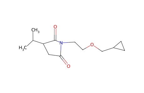 CC(C)C1CC(=O)N(CCOCC2CC2)C1=O